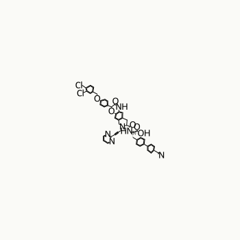 N#Cc1ccc(-c2ccc(C[C@H](NC(=O)C3Cc4cc5c(cc4CN3CC#Cc3ncccn3)OC(c3ccc(OCc4ccc(Cl)c(Cl)c4)cc3)C(=O)N5)C(=O)O)cc2)cc1